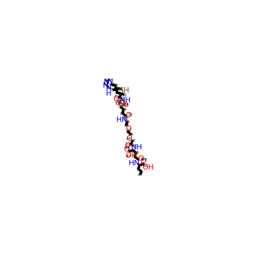 CCCC(NC(=O)CCC(NC(=O)COCCOCCNC(=O)CCCS(=O)(=O)NC(=O)C(C)(S)CC(C)(C)Cc1nnn[nH]1)C(=O)O)C(=O)O